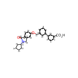 O=C(O)c1cccc(-c2cccc(COc3ccc4c(c3)CN(C3CCCC3)C4=O)c2)c1